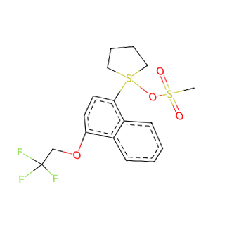 CS(=O)(=O)OS1(c2ccc(OCC(F)(F)F)c3ccccc23)CCCC1